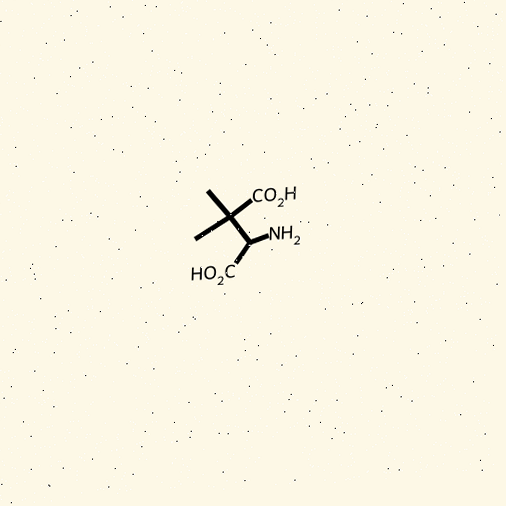 CC(C)(C(=O)O)C(N)C(=O)O